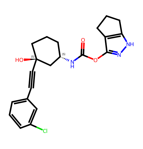 O=C(N[C@H]1CCC[C@@](O)(C#Cc2cccc(Cl)c2)C1)Oc1n[nH]c2c1CCC2